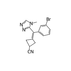 Cn1cnnc1C(=C1CC(C#N)C1)c1cccc(Br)c1